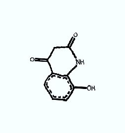 O=C1CC(=O)c2cccc(O)c2N1